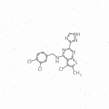 Cc1sc2nc(-c3nc[nH]n3)nc(NCc3ccc(Cl)c(Cl)c3)c2c1Cl